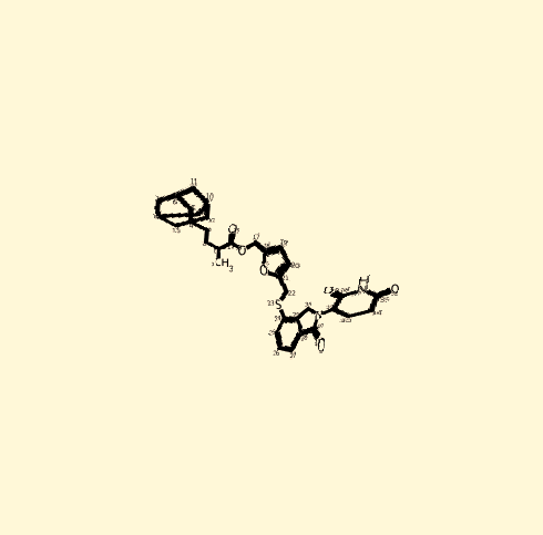 CC(CCC12CC3CC(CC(C3)C1)C2)C(=O)OCc1ccc(CSc2cccc3c2CN(C2CCC(=O)NC2=O)C3=O)o1